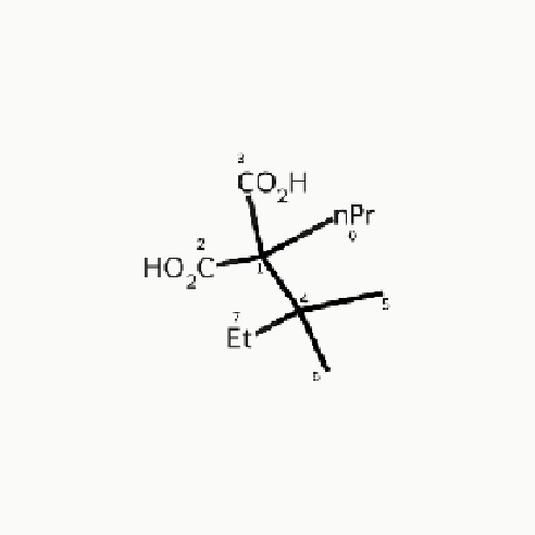 CCCC(C(=O)O)(C(=O)O)C(C)(C)CC